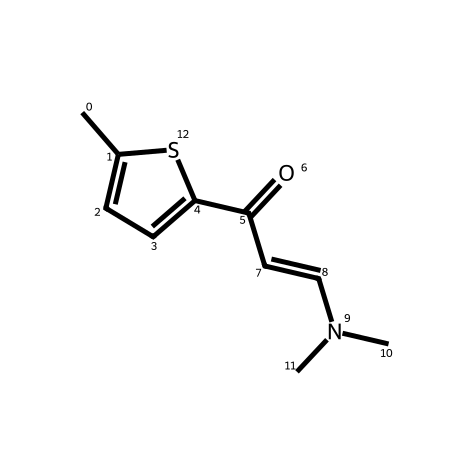 Cc1ccc(C(=O)C=CN(C)C)s1